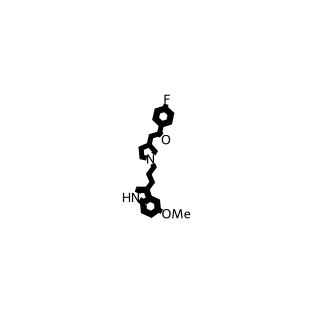 COc1ccc2[nH]cc(CCCN3CCC(CC(=O)c4ccc(F)cc4)C3)c2c1